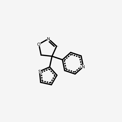 [C]1=NOCC1(c1ccncc1)c1cccs1